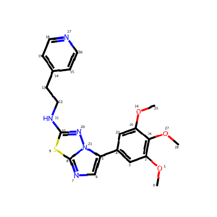 COc1cc(-c2cnc3sc(NCCc4ccncc4)nn23)cc(OC)c1OC